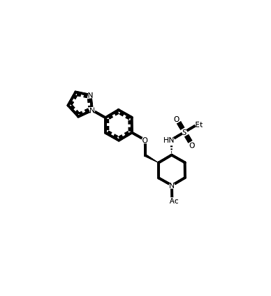 CCS(=O)(=O)N[C@@H]1CCN(C(C)=O)C[C@H]1COc1ccc(-n2cccn2)cc1